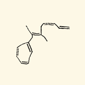 C=C/C=C\C(C)=C(/C)c1ccccc1